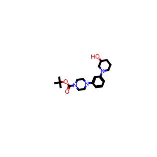 CC(C)(C)OC(=O)N1CCN(c2cccc(N3CCCC(O)C3)c2)CC1